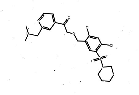 C[As](C)Cc1cccc(C(=O)COCc2cc(S(=O)(=O)N3CCCCC3)c(Cl)cc2Cl)c1